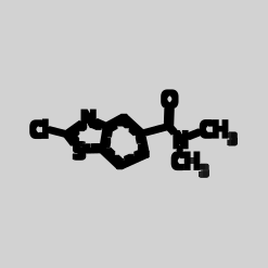 CN(C)C(=O)c1ccc2sc(Cl)nc2c1